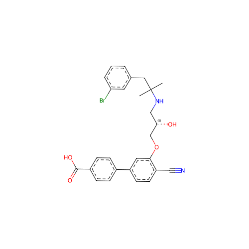 CC(C)(Cc1cccc(Br)c1)NC[C@H](O)COc1cc(-c2ccc(C(=O)O)cc2)ccc1C#N